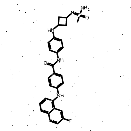 CS(N)(=O)=NC1CC(Nc2ccc(NC(=O)c3ccc(Nc4cccc5ccc(F)cc45)cc3)cc2)C1